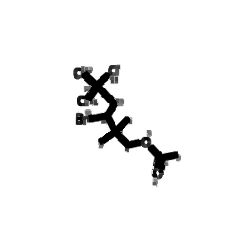 CC(=O)OCC(C)(C)C(Br)CC(Cl)(Cl)Cl